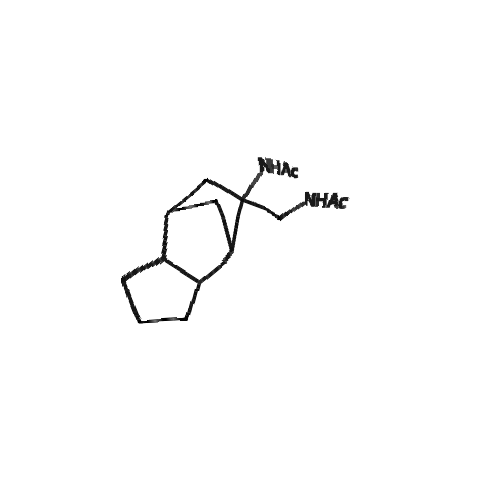 CC(=O)NCC1(NC(C)=O)CC2CC1C1CCCC21